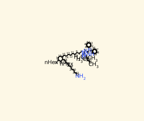 C=NC(N/C(=N\NCCCCCCCCCC1CCC(CCCCCC)C(CCCCCC)C1CCCCCCCCCN)N(c1ccccc1)c1ccccc1)C(C)(C)C=CC